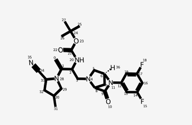 C=C(C(CN1C[C@@H]2CC1C(=O)N2c1cc(F)cc(F)c1)NC(=O)OC(C)(C)C)N1CC(C)CC1C#N